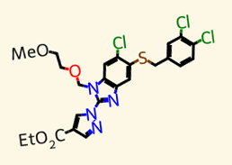 CCOC(=O)c1cnn(-c2nc3cc(SCc4ccc(Cl)c(Cl)c4)c(Cl)cc3n2COCCOC)c1